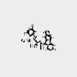 CC(=O)N[C@@H](Cc1cc(F)cc(F)c1)[C@@H](O)CNC1c2ccccc2-c2ccc(C(C)C)cc21